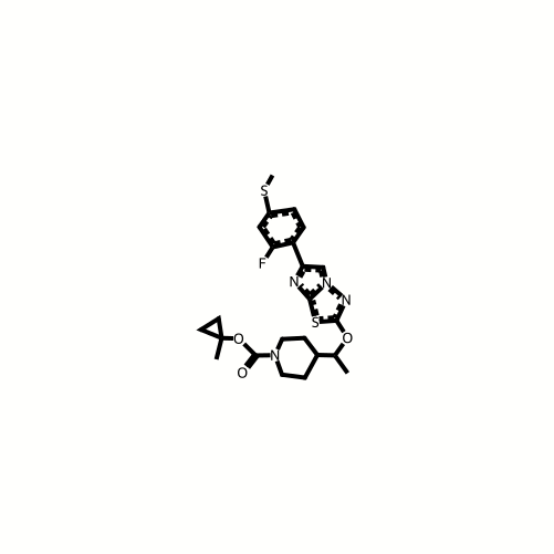 CSc1ccc(-c2cn3nc(OC(C)C4CCN(C(=O)OC5(C)CC5)CC4)sc3n2)c(F)c1